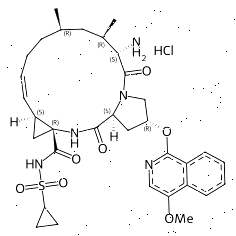 COc1cnc(O[C@@H]2C[C@H]3C(=O)N[C@]4(C(=O)NS(=O)(=O)C5CC5)C[C@H]4C=CCC[C@@H](C)C[C@@H](C)[C@H](N)C(=O)N3C2)c2ccccc12.Cl